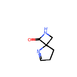 O=C1NCC12CCC=N2